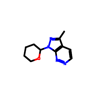 Cc1nn(C2CCCCO2)c2nnccc12